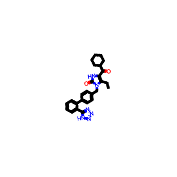 CCc1c(C(=O)C2CCCCC2)[nH]c(=O)n1Cc1ccc(-c2ccccc2-c2nnn[nH]2)cc1